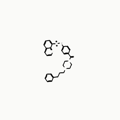 O=C(c1ccc(NS(=O)(=O)c2cccc3cccnc23)cc1)N1CCN(CCCc2ccccc2)CC1